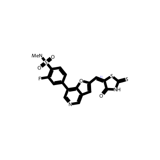 CNS(=O)(=O)c1ccc(-c2cncc3cc(/C=C4/SC(=S)NC4=O)oc23)cc1F